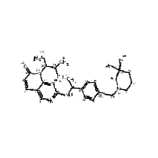 CC(Nc1ncc2ccc(=O)n(C(C)C(C)C)c2n1)c1ccc(CN2CCCC(F)(F)C2)cc1